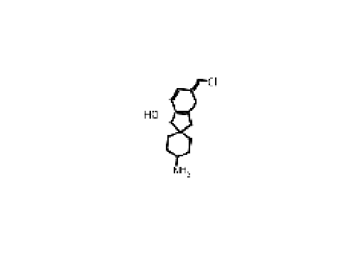 Cl.NC1CCC2(CC1)CC1=C(CC(=CCl)C=C1)C2